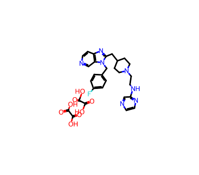 Fc1ccc(Cn2c(CC3CCN(CCNc4cnccn4)CC3)nc3ccncc32)cc1.O=C(O)C(=O)O.O=C(O)C(=O)O